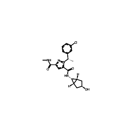 CNC(=O)c1cc(C(=O)N[C@@H]2[C@@H]3C[C@@H](O)C[C@@H]32)n([C@@H](C)c2cccc(Cl)c2)n1